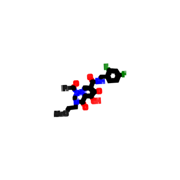 COCCN1CN(C(=O)C(C)C)n2cc(C(=O)NCc3ccc(F)cc3F)c(=O)c(O)c2C1=O